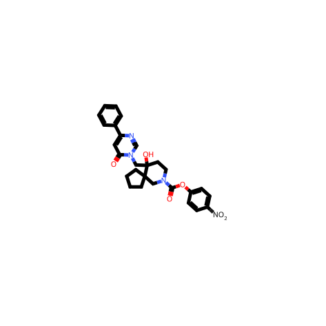 O=C(Oc1ccc([N+](=O)[O-])cc1)N1CCC(O)(Cn2cnc(-c3ccccc3)cc2=O)C2(CCCC2)C1